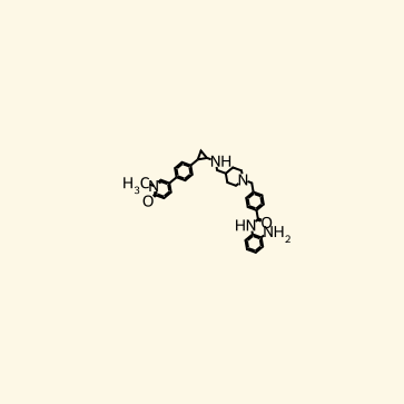 Cn1cc(-c2ccc(C3CC3NCC3CCN(Cc4ccc(C(=O)Nc5ccccc5N)cc4)CC3)cc2)ccc1=O